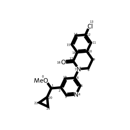 COC(c1cncc(N2CCc3cc(Cl)ccc3C2=O)c1)C1CC1